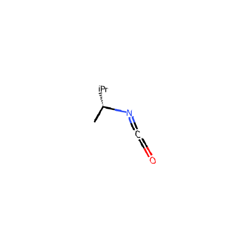 CC(C)[C@@H](C)N=C=O